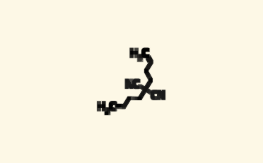 C=CCCC(C#N)(C#N)CCC=C